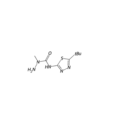 CN(N)C(=O)Nc1nnc(C(C)(C)C)s1